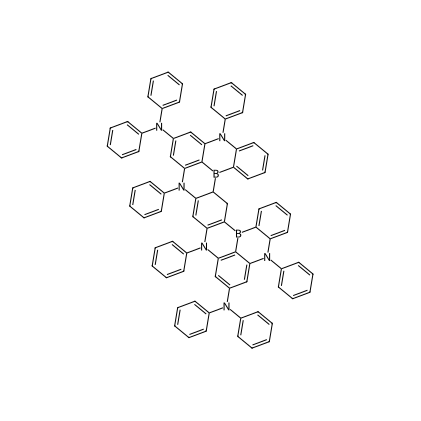 C1=C2C(CC3=C1N(c1ccccc1)c1cc(N(c4ccccc4)c4ccccc4)cc4c1B3c1ccccc1N4c1ccccc1)B1c3ccccc3N(c3ccccc3)c3cc(N(c4ccccc4)c4ccccc4)cc(c31)N2c1ccccc1